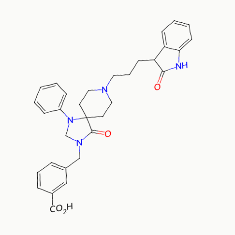 O=C(O)c1cccc(CN2CN(c3ccccc3)C3(CCN(CCCC4C(=O)Nc5ccccc54)CC3)C2=O)c1